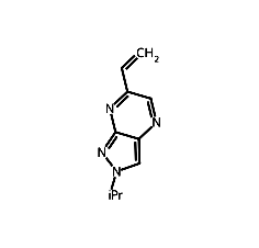 C=Cc1cnc2cn(C(C)C)nc2n1